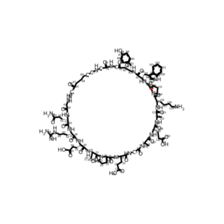 CC1NC(=O)CNC(=O)C(CCC(=O)O)NC(=O)[C@@H]2CCCN2C(=O)[C@H]([C@@H](C)O)NC(=O)[C@H](CCC(=O)O)NC(=O)[C@H](CCCNC(=N)N)NC(=O)[C@H](CCC(N)=O)NC(=O)CNNCC(=O)CCCCCNCC(=O)NCC(=O)C(=O)[C@H](Cc2ccc(O)cc2)NC(=O)[C@H](Cc2c[nH]c3ccccc23)NC(=O)[C@@H]2CCCN2C(=O)[C@H](CCCCN)NC(=O)C(C)NC(=O)[C@H](CCC(=O)O)NC1=O